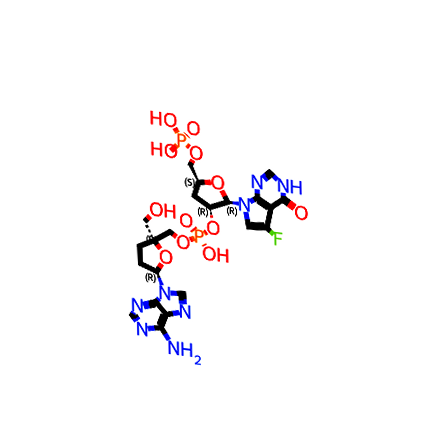 Nc1ncnc2c1ncn2[C@H]1CC[C@@](CO)(COP(=O)(O)O[C@@H]2C[C@@H](COP(=O)(O)O)O[C@H]2n2cc(F)c3c(=O)[nH]cnc32)O1